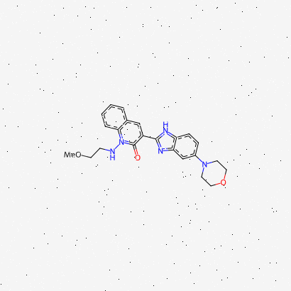 COCCNn1c(=O)c(-c2nc3cc(N4CCOCC4)ccc3[nH]2)cc2ccccc21